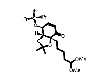 COC(CCCC[C@@]12OC(C)(C)O[C@@H]1[C@@H](O[Si](C(C)C)(C(C)C)C(C)C)C=CC2=O)OC